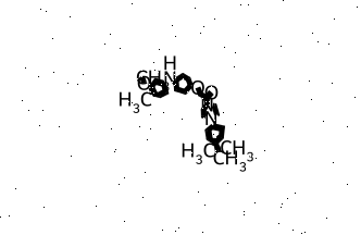 COc1cc(NC2CCC(OCC(=O)N3CCN(c4ccc(C(C)(C)C)cc4)CC3)CC2)ccc1C